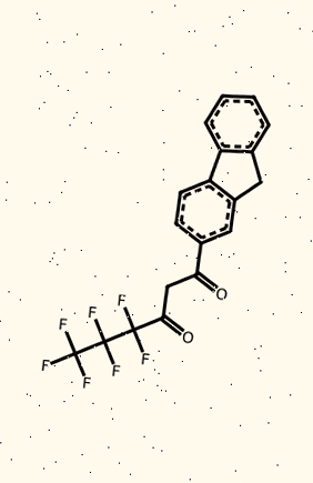 O=C(CC(=O)C(F)(F)C(F)(F)C(F)(F)F)c1ccc2c(c1)Cc1ccccc1-2